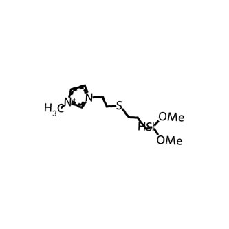 CO[SiH](CCCSCCn1cc[n+](C)c1)OC